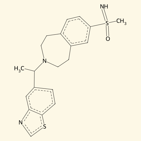 CC(c1ccc2scnc2c1)N1CCc2ccc(S(C)(=N)=O)cc2CC1